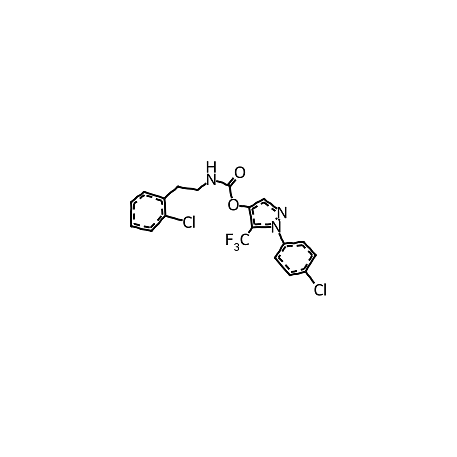 O=C(NCCc1ccccc1Cl)Oc1cnn(-c2ccc(Cl)cc2)c1C(F)(F)F